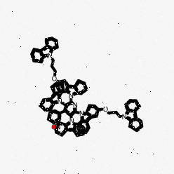 N#Cc1cccc(-c2c(-n3c4ccccc4c4ccccc43)c(-n3c4ccccc4c4cc(OCCCn5c6ccccc6c6ccccc65)ccc43)nc(-n3c4ccccc4c4cc(OCCCn5c6ccccc6c6ccccc65)ccc43)c2-n2c3ccccc3c3ccccc32)c1